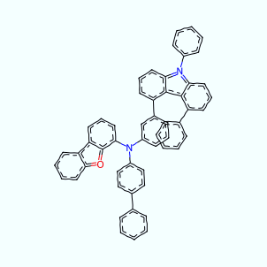 c1ccc(-c2ccc(N(c3cccc(-c4cccc5c4c4c(-c6ccccc6)cccc4n5-c4ccccc4)c3)c3cccc4c3oc3ccccc34)cc2)cc1